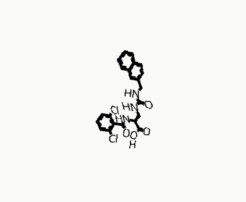 O=C(NCc1ccc2ccccc2c1)NCC(NC(=O)c1c(Cl)cccc1Cl)C(=O)O